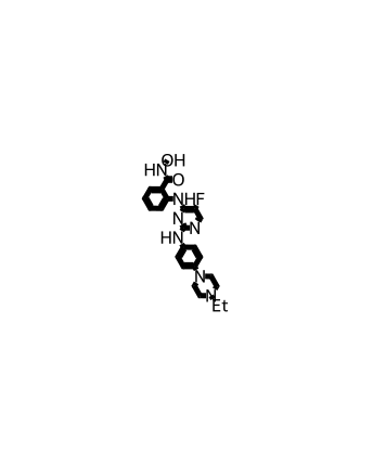 CCN1CCN(c2ccc(Nc3ncc(F)c(Nc4ccccc4C(=O)NO)n3)cc2)CC1